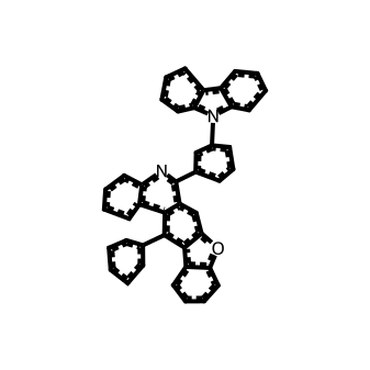 c1ccc(-c2c3c(cc4c(-c5cccc(-n6c7ccccc7c7ccccc76)c5)nc5ccccc5c24)oc2ccccc23)cc1